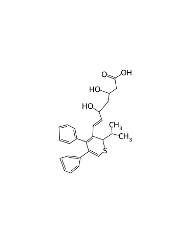 CC(C)C1SC=C(c2ccccc2)C(c2ccccc2)=C1C=CC(O)CC(O)CC(=O)O